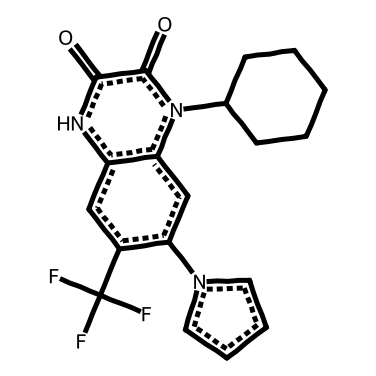 O=c1[nH]c2cc(C(F)(F)F)c(-n3cccc3)cc2n(C2CCCCC2)c1=O